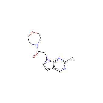 CC(C)(C)c1ncc2ccn(CC(=O)N3CCOCC3)c2n1